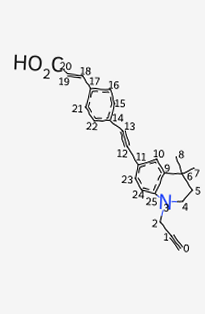 C#CCN1CCC(C)(C)c2cc(C#Cc3ccc(/C=C/C(=O)O)cc3)ccc21